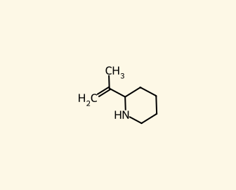 C=C(C)C1CCCCN1